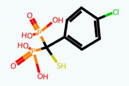 O=P(O)(O)C(S)(c1ccc(Cl)cc1)P(=O)(O)O